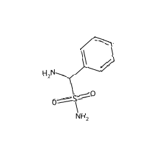 NC(c1cc[c]cc1)S(N)(=O)=O